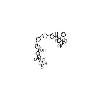 O=C1CCC(N2Cc3cc(C4(O)CCN(CC5CCC(CN6CCC(c7ccc(Nc8ncc(C(F)(F)F)c(N9OCC[C@H]9c9ccccc9)n8)nc7)CC6)CC5)CC4)ccc3C2=O)C(=O)N1